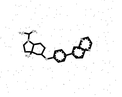 CC(C)N1CCC2(C)CC(Oc3ccc(-c4ccc5nccnc5c4)cc3)CCC12